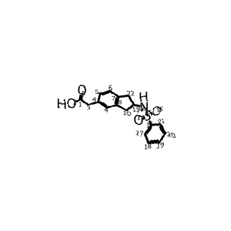 O=C(O)Cc1ccc2c(c1)CC(NS(=O)(=O)c1ccccc1)C2